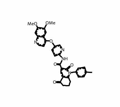 COc1cc2nccc(Oc3ccc(NC(=O)c4cc5c(n(-c6ccc(C)cc6)c4=O)CCCC5=O)nc3)c2cc1OC